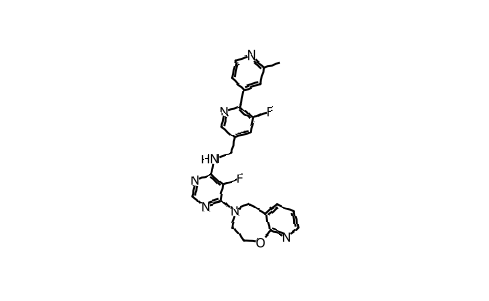 Cc1cc(-c2ncc(CNc3ncnc(N4CCOc5ncccc5C4)c3F)cc2F)ccn1